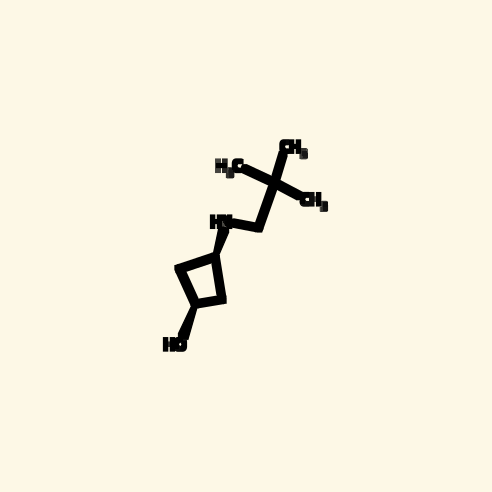 CC(C)(C)CN[C@H]1C[C@@H](O)C1